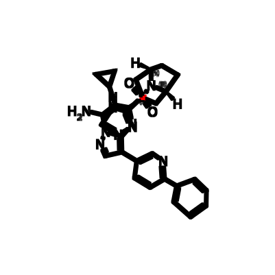 Nc1c(C2CC2)c([C@@H]2C[C@H]3CC[C@@H](C2)N3S(=O)(=O)c2nnc[nH]2)nc2c(-c3ccc(-c4ccccc4)nc3)cnn12